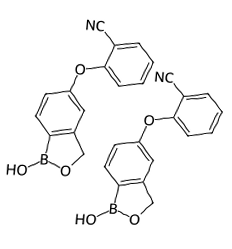 N#Cc1ccccc1Oc1ccc2c(c1)COB2O.N#Cc1ccccc1Oc1ccc2c(c1)COB2O